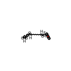 O=C(COc1c(F)ccc2sc(N3C4CCCC3COC4)nc12)NCCCCCCCCCCNC(=O)c1ccc(N2CCC(=O)NC2=O)cc1